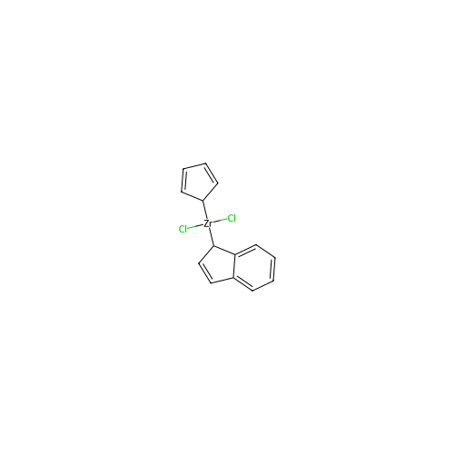 [Cl][Zr]([Cl])([CH]1C=CC=C1)[CH]1C=Cc2ccccc21